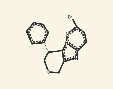 Brc1ccc2nc3c(n2n1)[C@@H](c1ccccc1)COC3